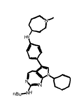 CCCCNc1ncc2c(-c3ccc(NC4CCCN(C)CC4)cc3)cn(C3CCCCC3)c2n1